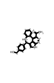 NC(=O)c1nnc2[nH]cc3c2c1-c1ccccc1NC3c1ccc(CO)cc1